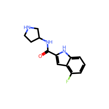 O=C(NC1CCNC1)c1cc2c(F)cccc2[nH]1